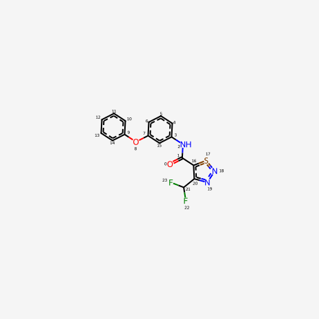 O=C(Nc1cccc(Oc2ccccc2)c1)c1snnc1C(F)F